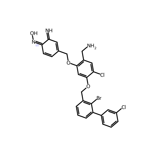 N=C1C=C(COc2cc(OCc3cccc(-c4cccc(Cl)c4)c3Br)c(Cl)cc2CN)C=C/C1=N/O